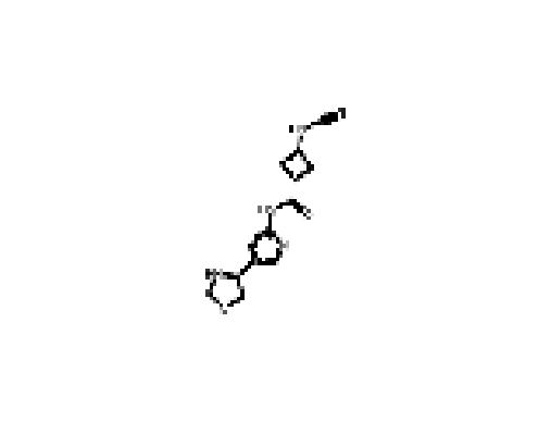 N#CN[C@H]1C[C@H](C(=O)Nc2ncc(C3COCN3)s2)C1